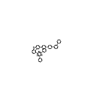 c1ccc(-c2cccc(-c3ccc(-c4ccc(-c5ccc6sc7cccc(-c8nc(-c9ccccc9)nc(-c9ccccc9)n8)c7c6c5)cc4)cc3)c2)cc1